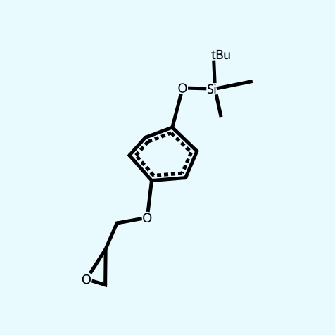 CC(C)(C)[Si](C)(C)Oc1ccc(OCC2CO2)cc1